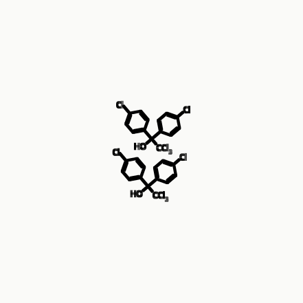 OC(c1ccc(Cl)cc1)(c1ccc(Cl)cc1)C(Cl)(Cl)Cl.OC(c1ccc(Cl)cc1)(c1ccc(Cl)cc1)C(Cl)(Cl)Cl